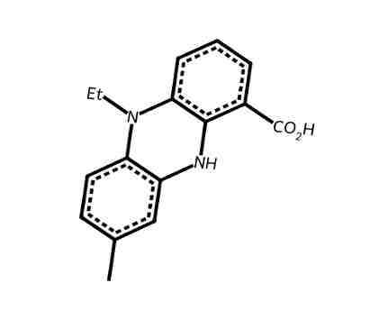 CCN1c2ccc(C)cc2Nc2c(C(=O)O)cccc21